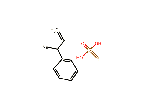 C=C[CH]([Na])c1ccccc1.O=S(O)(O)=S